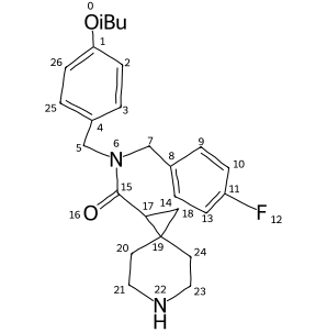 CC(C)COc1ccc(CN(Cc2ccc(F)cc2)C(=O)C2CC23CCNCC3)cc1